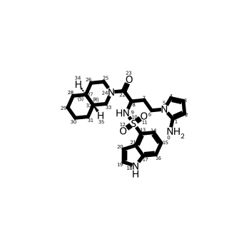 Nc1cccn1CCC(NS(=O)(=O)c1cccc2[nH]ccc12)C(=O)N1CC[C@@H]2CCCC[C@H]2C1